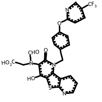 O=CN(CC(=O)O)c1c(O)c2sc3ncccc3c2n(Cc2ccc(Oc3ccc(C(F)(F)F)cn3)cc2)c1=O